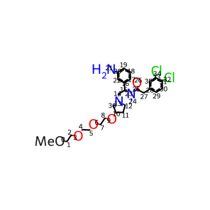 COCCOCCOCCOC1CCN(CC(c2cccc(N)c2)N(C)C(=O)Cc2ccc(Cl)c(Cl)c2)C1